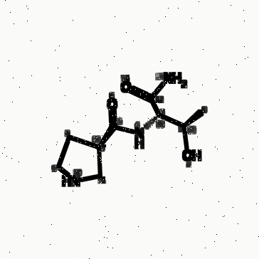 C[C@@H](O)[C@H](NC(=O)[C@@H]1CCNC1)C(N)=O